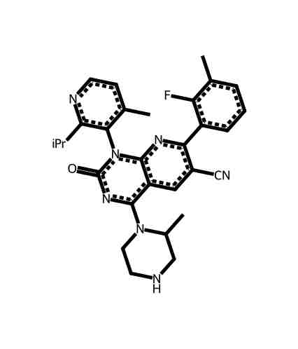 Cc1cccc(-c2nc3c(cc2C#N)c(N2CCNCC2C)nc(=O)n3-c2c(C)ccnc2C(C)C)c1F